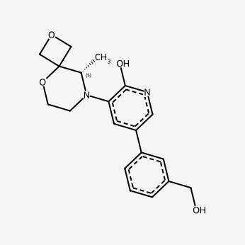 C[C@@H]1N(c2cc(-c3cccc(CO)c3)cnc2O)CCOC12COC2